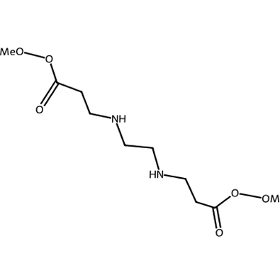 COOC(=O)CCNCCNCCC(=O)OOC